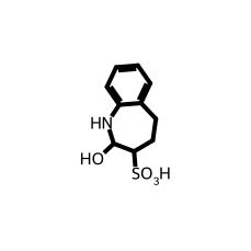 O=S(=O)(O)C1CCc2ccccc2NC1O